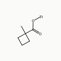 [CH2]C1(C(=O)OCC)CCC1